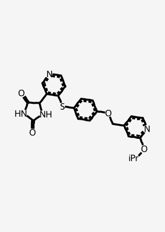 CC(C)Oc1cc(COc2ccc(Sc3ccncc3C3NC(=O)NC3=O)cc2)ccn1